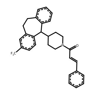 O=C(/C=C/c1ccccc1)N1CCC(C2c3ccccc3CCc3cc(C(F)(F)F)ccc32)CC1